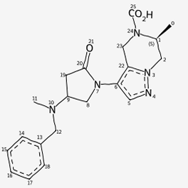 C[C@H]1Cn2ncc(N3CC(N(C)Cc4ccccc4)CC3=O)c2CN1C(=O)O